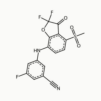 CS(=O)(=O)c1ccc(Nc2cc(F)cc(C#N)c2)c2c1C(=O)C(F)(F)O2